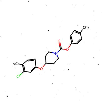 Cc1ccc(OC(=O)N2CCC(Oc3ccc(C#N)c(Cl)c3)CC2)cc1